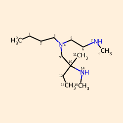 CCCCN(CCNC)CC(C)(CC)NC